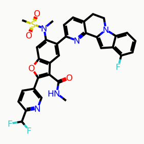 CNC(=O)c1c(-c2ccc(C(F)F)nc2)oc2cc(N(C)S(C)(=O)=O)c(-c3ccc4c(n3)-c3cc5c(F)cccc5n3CC4)cc12